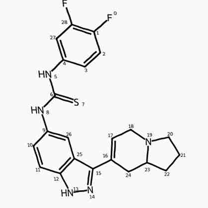 Fc1ccc(NC(=S)Nc2ccc3[nH]nc(C4=CCN5CCCC5C4)c3c2)cc1F